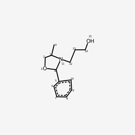 CC1COC(c2ccccc2)N1CCCO